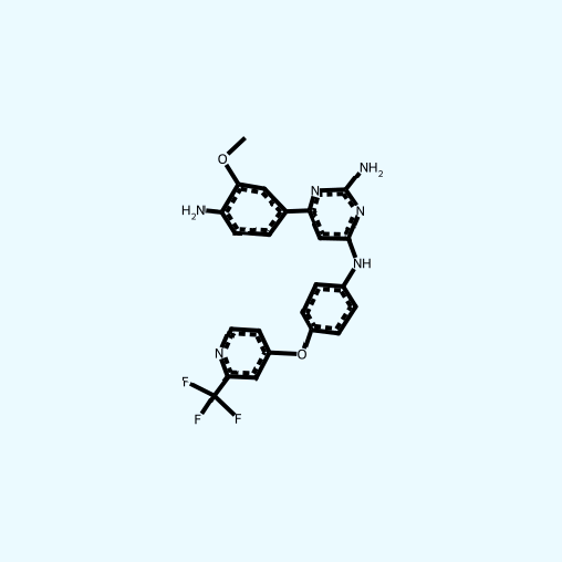 COc1cc(-c2cc(Nc3ccc(Oc4ccnc(C(F)(F)F)c4)cc3)nc(N)n2)ccc1N